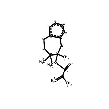 C=C(C)C(=O)OC1(C)Cc2ccccc2CCC1(C)C